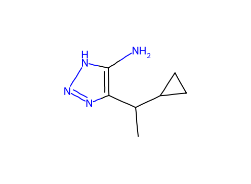 CC(c1nn[nH]c1N)C1CC1